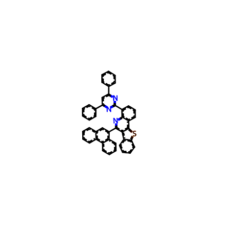 c1ccc(-c2cc(-c3ccccc3)nc(-c3cccc4c3nc(-c3cc5ccccc5c5ccccc35)c3c5ccccc5sc43)n2)cc1